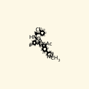 CC(=O)c1nn(CC(=O)N2C[C@H](F)C[C@H]2C(=O)NC2C[C@H]2c2ccccc2Cl)c2ccc(-c3cnc(C)nc3)cc12